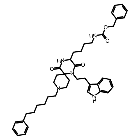 O=C(NCCCCC1NC(=O)C2(CCN(CCCCCCc3ccccc3)CC2)N(CCc2c[nH]c3ccccc23)C1=O)OCc1ccccc1